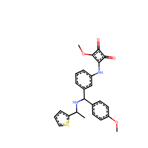 COc1ccc(C(NC(C)c2cccs2)c2cccc(Nc3c(OC)c(=O)c3=O)c2)cc1